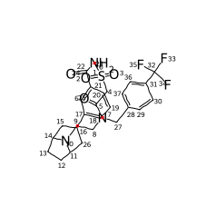 CS(=O)(=O)CC(=O)N(CCN1C2CCC1CC(c1cccc(C(N)=O)c1)C2)Cc1ccc(C(F)(F)F)cc1